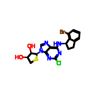 O[C@@H]1[C@H](O)CS[C@H]1n1cnc2c(N[C@@H]3CCc4cccc(Br)c43)nc(Cl)nc21